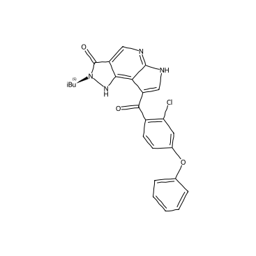 CC[C@H](C)n1[nH]c2c(cnc3[nH]cc(C(=O)c4ccc(Oc5ccccc5)cc4Cl)c32)c1=O